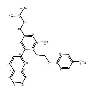 Cc1ccc(CCOc2c(N)cc(CCC(=O)O)cc2-c2ccc3ccccc3c2)cc1